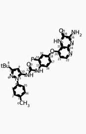 Cc1ccc(-n2nc(C(C)(C)C)cc2NC(=O)Nc2ccc(Oc3ccnc4nc(N)c(=O)[nH]c34)cc2F)cc1